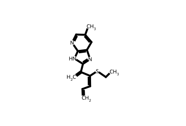 C=C/C=C(/SCC)C(=C)c1nc2cc(C)cnc2[nH]1